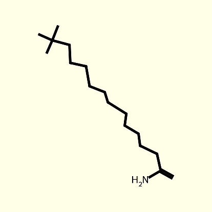 C=C(N)CCCCCCCCCCCC(C)(C)C